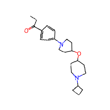 CCC(=O)c1ccc(N2CCC(OC3CCN(C4CCC4)CC3)CC2)cc1